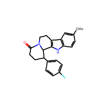 COc1ccc2[nH]c3c(c2c1)CCN1C(=O)CCC(c2ccc(F)cc2)C31